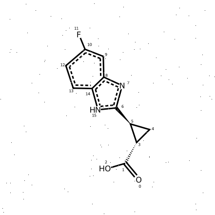 O=C(O)[C@H]1C[C@@H]1c1nc2cc(F)ccc2[nH]1